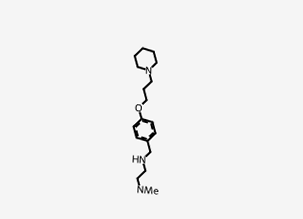 CNCCNCc1ccc(OCCCN2CCCCC2)cc1